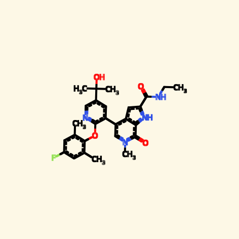 CCNC(=O)c1cc2c(-c3cc(C(C)(C)O)cnc3Oc3c(C)cc(F)cc3C)cn(C)c(=O)c2[nH]1